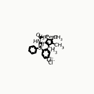 CCCCCC(=O)[NH][Hf+2]([C]1=C(C)C(C)=C(C)C1C)[SiH](c1ccccc1)c1ccccc1.[Cl-].[Cl-]